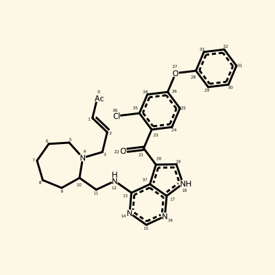 CC(=O)/C=C/CN1CCCCCC1CNc1ncnc2[nH]cc(C(=O)c3ccc(Oc4ccccc4)cc3Cl)c12